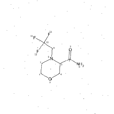 NC(=O)C1COCCN1CC(F)(F)F